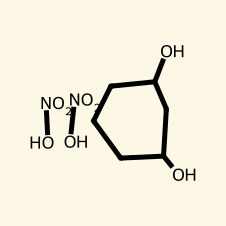 O=[N+]([O-])O.O=[N+]([O-])O.OC1CCCC(O)C1